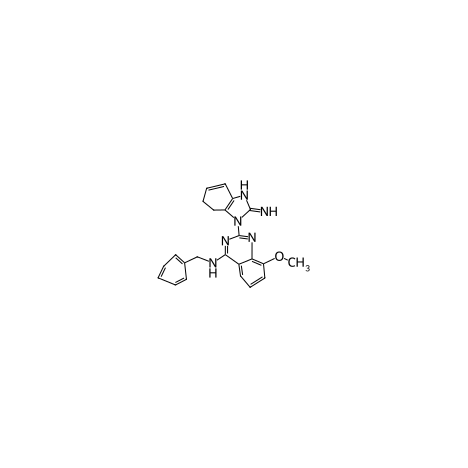 COc1cccc2c(NCc3ccccc3)nc(-n3c4c([nH]c3=N)C=CCC4)nc12